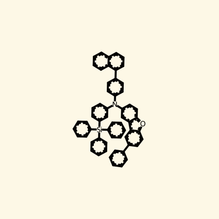 c1ccc(-c2ccc3oc4ccc(N(c5ccc(-c6cccc7ccccc67)cc5)c5cccc([Si](c6ccccc6)(c6ccccc6)c6ccccc6)c5)cc4c3c2)cc1